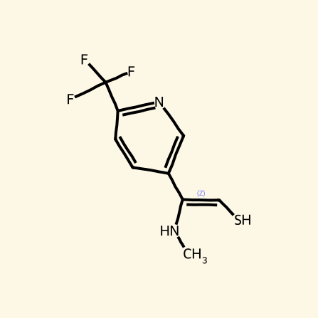 CN/C(=C\S)c1ccc(C(F)(F)F)nc1